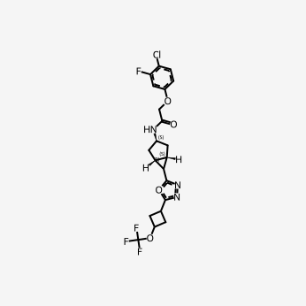 O=C(COc1ccc(Cl)c(F)c1)N[C@H]1C[C@@H]2C(c3nnc(C4CC(OC(F)(F)F)C4)o3)[C@@H]2C1